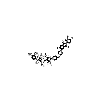 Cc1cc(O[C@H]2C(C)(C)[C@H](NC(=O)c3c(C)nc(N4CCC(CN5CCN(c6cc7c(cc6F)C(=O)N(C6CCC(=O)NC6=O)C7=O)CC5)CC4)nc3C)C2(C)C)ccc1C#N